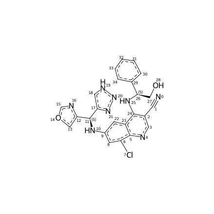 N#Cc1cnc2c(Cl)cc(N[C@@H](c3cocn3)c3c[nH]nn3)cc2c1N[C@H](CO)c1ccccc1